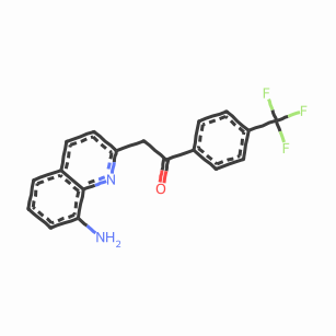 Nc1cccc2ccc(CC(=O)c3ccc(C(F)(F)F)cc3)nc12